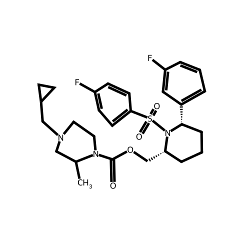 CC1CN(CC2CC2)CCN1C(=O)OC[C@H]1CCC[C@@H](c2cccc(F)c2)N1S(=O)(=O)c1ccc(F)cc1